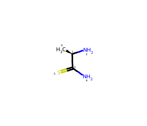 C[C@@H](N)C(N)=S